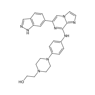 OCCN1CCN(c2ccc(Nc3nc(-c4ccc5cn[nH]c5c4)cn4ccnc34)cc2)CC1